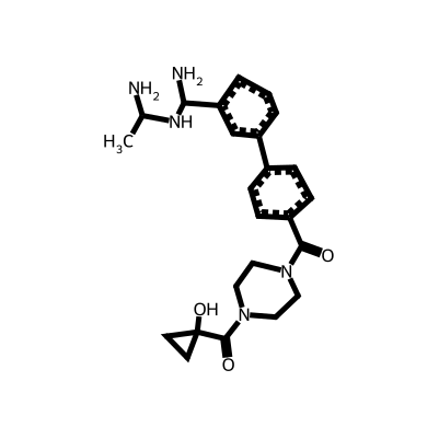 CC(N)NC(N)c1cccc(-c2ccc(C(=O)N3CCN(C(=O)C4(O)CC4)CC3)cc2)c1